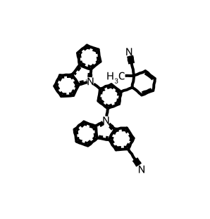 CC1(C#N)C=CC=CC1c1cc(-n2c3ccccc3c3ccccc32)cc(-n2c3ccccc3c3cc(C#N)ccc32)c1